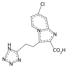 O=C(O)c1nc2cc(Cl)ccn2c1CCc1nnn[nH]1